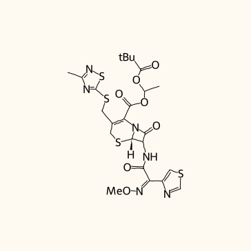 CO/N=C(\C(=O)NC1C(=O)N2C(C(=O)OC(C)OC(=O)C(C)(C)C)=C(CSc3nc(C)ns3)CS[C@@H]12)c1cscn1